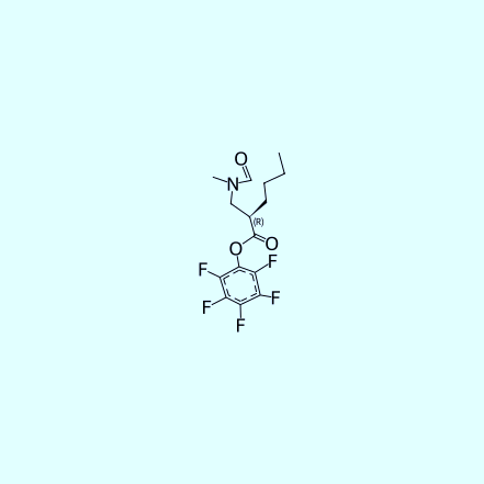 CCCC[C@H](CN(C)C=O)C(=O)Oc1c(F)c(F)c(F)c(F)c1F